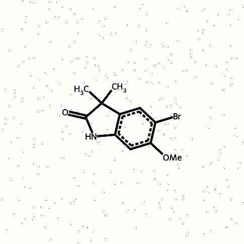 COc1cc2c(cc1Br)C(C)(C)C(=O)N2